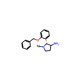 [2H]N1CCC(N)[C@H]1c1ccccc1OCc1ccccc1